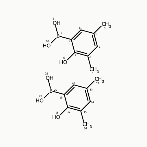 Cc1cc(C)c(O)c(B(O)O)c1.Cc1cc(C)c(O)c(B(O)O)c1